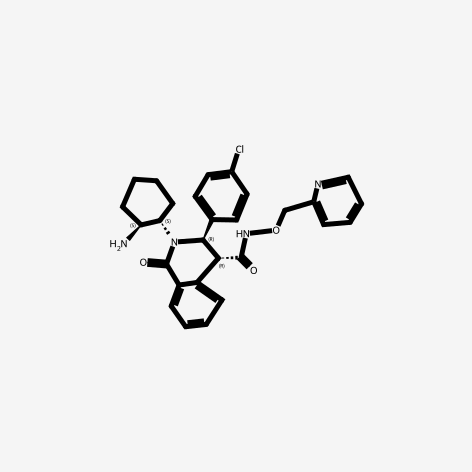 N[C@H]1CCCC[C@@H]1N1C(=O)c2ccccc2[C@@H](C(=O)NOCc2ccccn2)[C@@H]1c1ccc(Cl)cc1